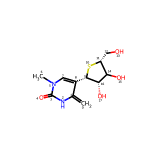 C=C1NC(=O)N(C)C=C1[C@@H]1S[C@H](CO)C(O)[C@@H]1O